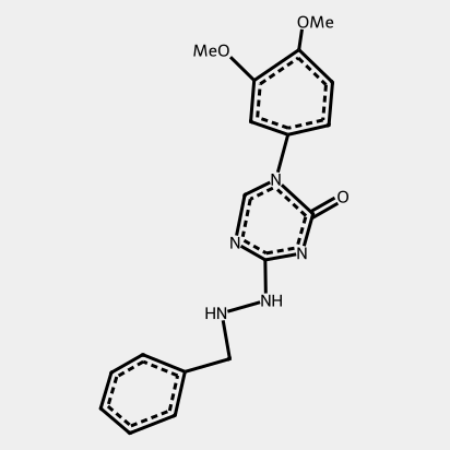 COc1ccc(-n2cnc(NNCc3ccccc3)nc2=O)cc1OC